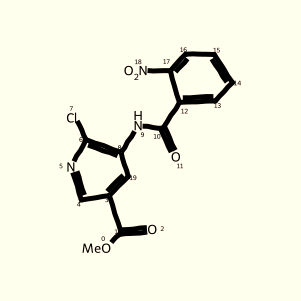 COC(=O)c1cnc(Cl)c(NC(=O)c2ccccc2[N+](=O)[O-])c1